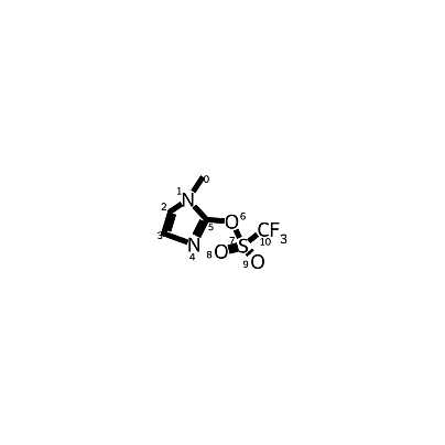 Cn1ccnc1OS(=O)(=O)C(F)(F)F